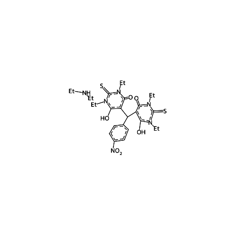 CCNCC.CCn1c(O)c(C(c2ccc([N+](=O)[O-])cc2)c2c(O)n(CC)c(=S)n(CC)c2=O)c(=O)n(CC)c1=S